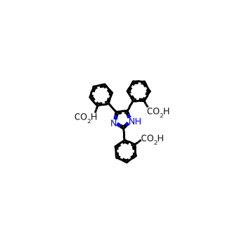 O=C(O)c1ccccc1-c1nc(-c2ccccc2C(=O)O)c(-c2ccccc2C(=O)O)[nH]1